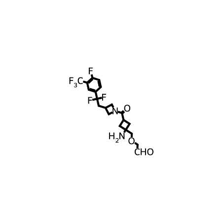 NC1(COCC=O)CC(C(=O)N2CC(CC(F)(F)c3ccc(F)c(C(F)(F)F)c3)C2)C1